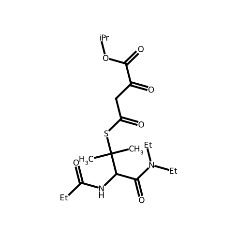 CCC(=O)NC(C(=O)N(CC)CC)C(C)(C)SC(=O)CC(=O)C(=O)OC(C)C